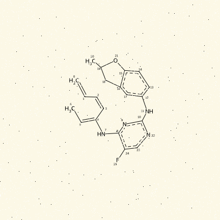 C=C/C=C\C(=C/C)Nc1nc(Nc2ccc3c(c2)CC(C)O3)ncc1F